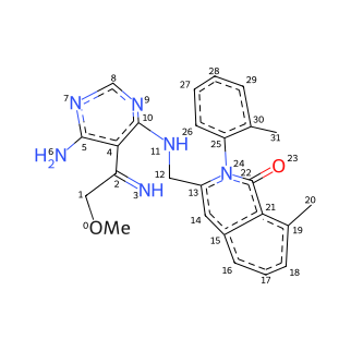 COCC(=N)c1c(N)ncnc1NCc1cc2cccc(C)c2c(=O)n1-c1ccccc1C